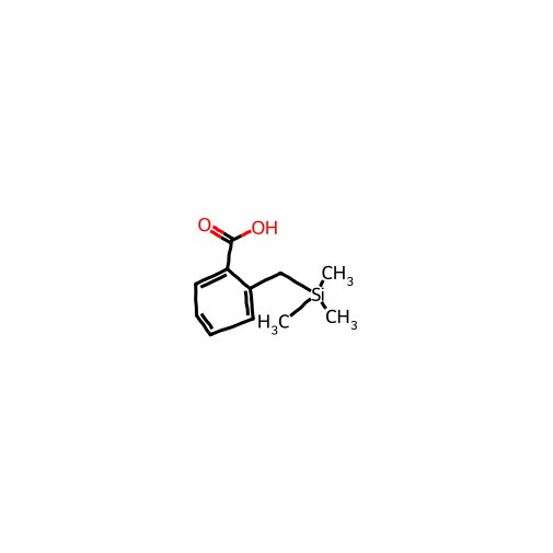 C[Si](C)(C)Cc1ccccc1C(=O)O